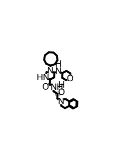 O=C(NC[C@H](O)CN1CCc2ccccc2C1)C1CC(NC2CCOCC2)N(C2CCCCCCCC2)CN1